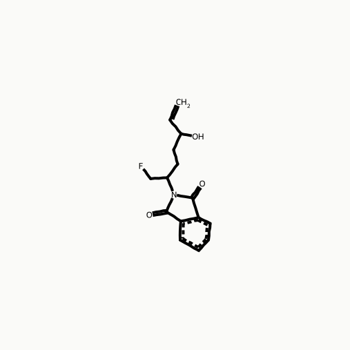 C=CC(O)CCC(CF)N1C(=O)c2ccccc2C1=O